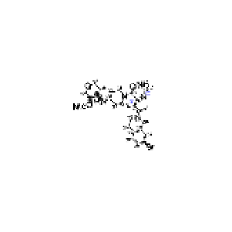 C=C(/C(C)=C(\N=C/N)C(=O)N1CCC(N[C@@H]2CCOC[C@@H]2OC)CC1)N1CCc2ccc(Br)cc2C1